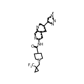 Cn1cc(-c2cnc3cnc(NC(=O)C4CCN(CC5(C(F)(F)F)CC5)CC4)cc3c2)nn1